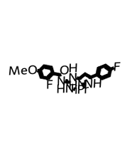 COc1ccc(C(=O)/N=C(/NC(C)C)NC2CC(c3ccc(F)cc3)NN2)c(F)c1